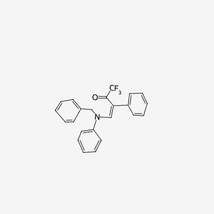 O=C(/C(=C\N(Cc1ccccc1)c1ccccc1)c1ccccc1)C(F)(F)F